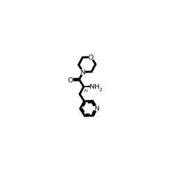 N[C@@H](Cc1cccnc1)C(=O)N1CCOCC1